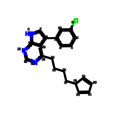 Clc1cccc(-c2c[nH]c3ncnc(CCCCC4C=CC=C4)c23)c1